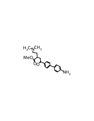 COC(=O)C(CCN(C)C)CC(=O)c1ccc(-c2ccc(N)cc2)cc1